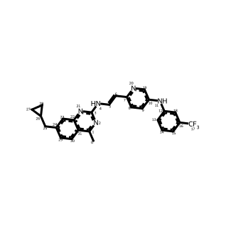 Cc1nc(N/C=C/c2ccc(Nc3cccc(C(F)(F)F)c3)cn2)nc2cc(CC3CC3)ccc12